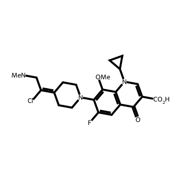 CNCC(Cl)=C1CCN(c2c(F)cc3c(=O)c(C(=O)O)cn(C4CC4)c3c2OC)CC1